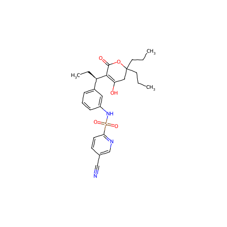 CCCC1(CCC)CC(O)=C([C@H](CC)c2cccc(NS(=O)(=O)c3ccc(C#N)cn3)c2)C(=O)O1